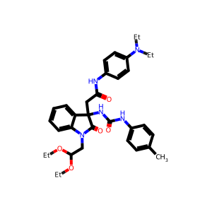 CCOC(CN1C(=O)C(CC(=O)Nc2ccc(N(CC)CC)cc2)(NC(=O)Nc2ccc(C)cc2)c2ccccc21)OCC